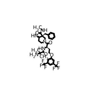 CNC(=O)[C@]1(Cc2ccccc2)CN(C(=O)[C@@H](CCOc2cc(C(F)(F)F)cc(C(F)(F)F)c2)NC(=O)C(C)(C)N)CCC1=N